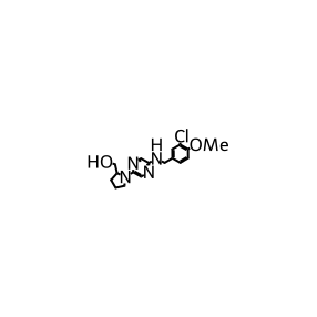 COc1ccc(CNc2cnc(N3CCCC3CO)cn2)cc1Cl